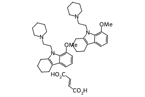 COc1cccc2c3c(n(CCN4CCCCC4)c12)CCCC3.COc1cccc2c3c(n(CCN4CCCCC4)c12)CCCC3.O=C(O)C=CC(=O)O